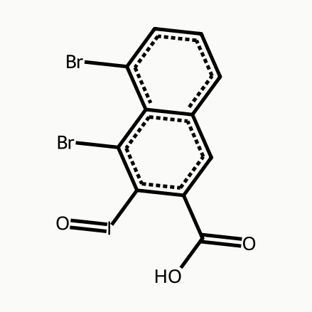 O=Ic1c(C(=O)O)cc2cccc(Br)c2c1Br